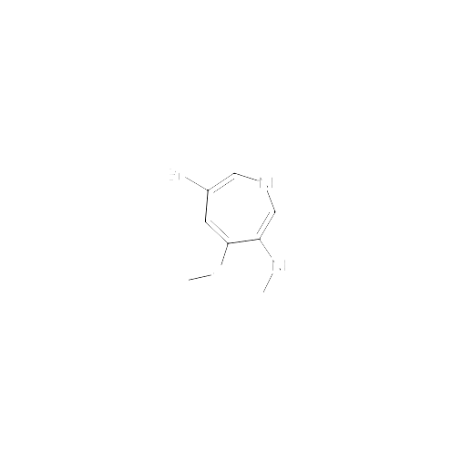 CNC1=CNC=C(Br)C=C1OC